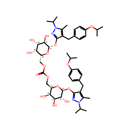 Cc1c(Cc2ccc(OC(C)C)cc2)c(O[C@@H]2O[C@H](COC(=O)OC[C@H]3O[C@@H](Oc4nn(C(C)C)c(C)c4Cc4ccc(OC(C)C)cc4)[C@H](O)[C@@H](O)[C@H]3O)[C@H](O)[C@H](O)[C@H]2O)nn1C(C)C